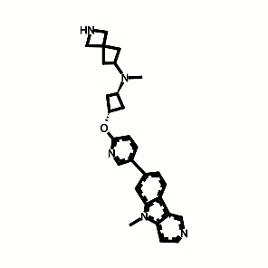 Cn1c2ccncc2c2ccc(-c3ccc(O[C@H]4C[C@H](N(C)C5CC6(CNC6)C5)C4)nc3)cc21